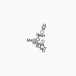 COc1cc(C(=O)N[C@H]2CC[C@H](N3CCOCC3)CC2)ccc1Nc1ncc2c(n1)N(C1CCCC1)CC1(CC1)C(=O)N2C